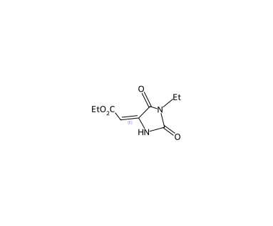 CCOC(=O)/C=C1/NC(=O)N(CC)C1=O